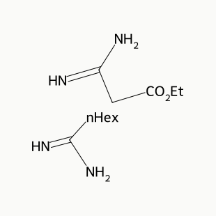 CCCCCCC(=N)N.CCOC(=O)CC(=N)N